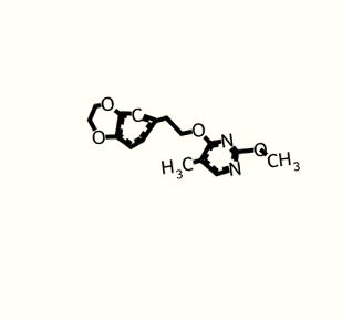 COc1ncc(C)c(OCCc2ccc3c(c2)OCCO3)n1